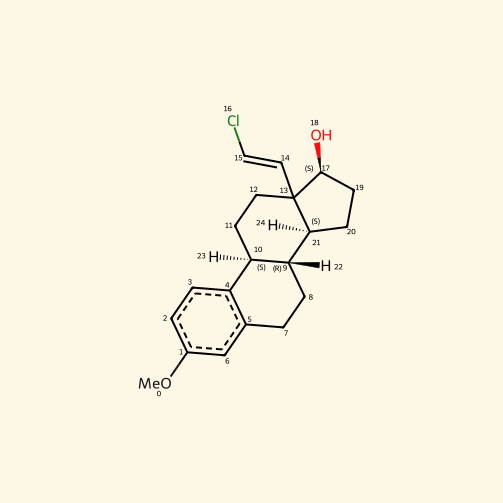 COc1ccc2c(c1)CC[C@@H]1[C@@H]2CCC2(C=CCl)[C@@H](O)CC[C@@H]12